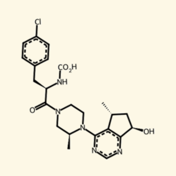 C[C@@H]1C[C@@H](O)c2ncnc(N3CCN(C(=O)[C@@H](Cc4ccc(Cl)cc4)NC(=O)O)C[C@@H]3C)c21